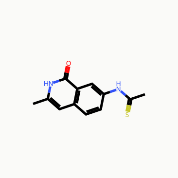 CC(=S)Nc1ccc2cc(C)[nH]c(=O)c2c1